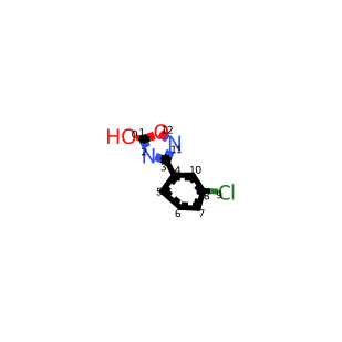 Oc1nc(-c2cccc(Cl)c2)no1